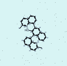 Cc1ccc2cccc(-c3cc4ccccc4c(-c4cccc5ccc(C)nc45)c3O)c2n1